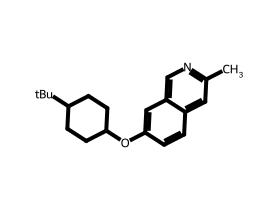 Cc1cc2ccc(OC3CCC(C(C)(C)C)CC3)cc2cn1